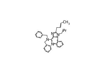 C/C=C/Cc1nc2c(N(Cc3ccccc3)Cc3ccccc3)nc3ccccc3c2n1CC(C)C